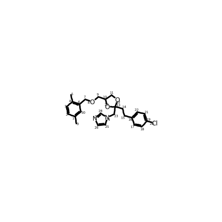 Cc1ccc(C)c(COCC2COC(CCc3ccc(Cl)cc3)(Cn3ccnc3)O2)c1